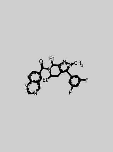 CCC1Cc2c(nn(C)c2-c2cc(F)cc(F)c2)C(CC)N1C(=O)c1ccc2ncncc2c1